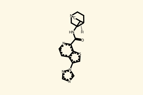 O=C(N[C@H]1CN2CCC1CC2)c1nccc2c(-n3cncn3)csc12